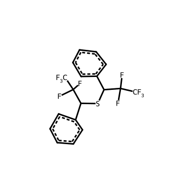 FC(F)(F)C(F)(F)C(SC(c1ccccc1)C(F)(F)C(F)(F)F)c1ccccc1